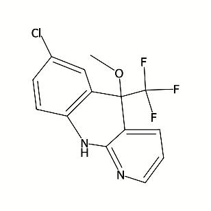 COC1(C(F)(F)F)c2cc(Cl)ccc2Nc2ncccc21